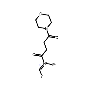 [CH2-]/C=[N+](/C(=O)CCC(=O)N1CCOCC1)C(C)C